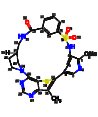 COc1ncc2cc1NS(=O)(=O)c1cccc(c1)C(=O)NC[C@@H]1CCN(C1)c1ncnc3c(C)c-2sc13